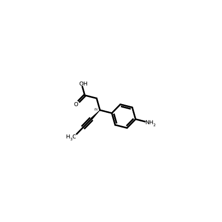 CC#C[C@@H](CC(=O)O)c1ccc(N)cc1